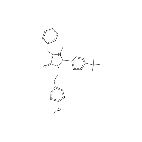 COc1ccc(CCN2C(=O)C(Cc3ccccc3)N(C)C2c2ccc(C(C)(C)C)cc2)cc1